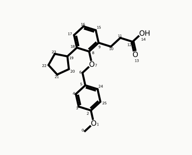 COc1ccc(COc2c(CCC(=O)O)cccc2C2CCCC2)cc1